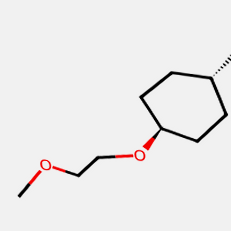 COCCO[C@H]1CC[C@H](C)CC1